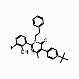 Cc1nc(-c2cccc(F)c2O)n(CCc2ccccc2)c(=O)c1-c1ccc(C(C)(C)C)cc1